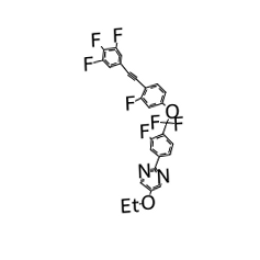 CCOc1cnc(-c2ccc(C(F)(F)Oc3ccc(C#Cc4cc(F)c(F)c(F)c4)c(F)c3)c(F)c2)nc1